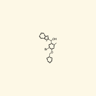 Cc1cc(OCc2ccccc2)c(Br)cc1C(O)c1cc2ccccc2s1